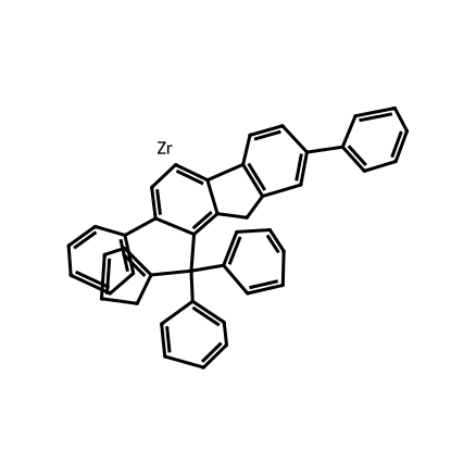 C1=CCC(C(c2ccccc2)(c2ccccc2)c2c(-c3ccccc3)ccc3c2Cc2cc(-c4ccccc4)ccc2-3)=C1.[Zr]